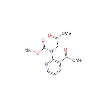 COC(=O)CN(C(=O)OC(C)(C)C)c1ncccc1C(=O)OC